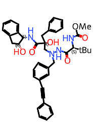 COC(=O)N[C@H](C(=O)NN(Cc1cccc(C#Cc2ccccc2)c1)C[C@](O)(Cc1ccccc1)C(=O)N[C@H]1c2ccccc2C[C@H]1O)C(C)(C)C